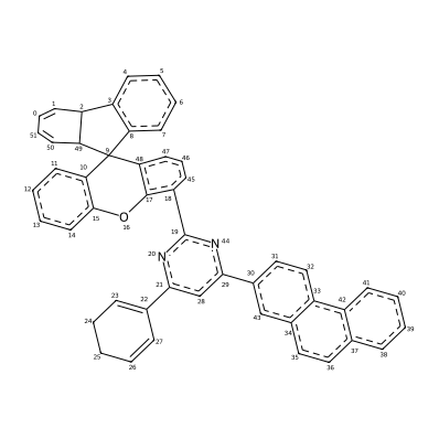 C1=CC2c3ccccc3C3(c4ccccc4Oc4c(-c5nc(C6=CCCC=C6)cc(-c6ccc7c(ccc8ccccc87)c6)n5)cccc43)C2C=C1